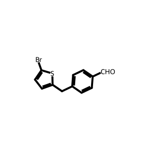 O=Cc1ccc(Cc2ccc(Br)s2)cc1